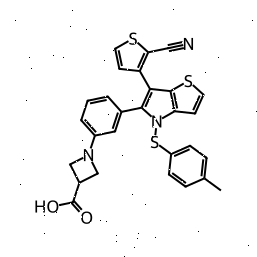 Cc1ccc(Sn2c(-c3cccc(N4CC(C(=O)O)C4)c3)c(-c3ccsc3C#N)c3sccc32)cc1